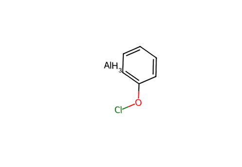 ClOc1ccccc1.[AlH3]